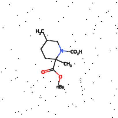 CCCCOC(=O)C1(C)CCC(C)CN1C(=O)O